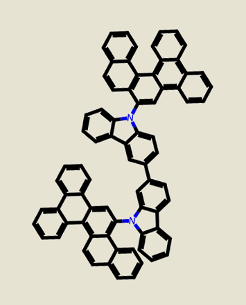 c1ccc2c(c1)ccc1c2c(-n2c3ccccc3c3ccc(-c4ccc5c(c4)c4ccccc4n5-c4cc5c6ccccc6c6ccccc6c5c5c4ccc4ccccc45)cc32)cc2c3ccccc3c3ccccc3c21